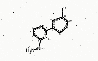 NNc1ccnc(-c2cccc(I)c2)n1